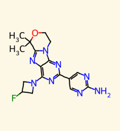 CC1(C)OCCn2c1nc1c(N3CC(F)C3)nc(-c3cnc(N)nc3)nc12